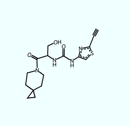 C#Cc1nc(NC(=O)NC(CO)C(=O)N2CCC3(CC2)CC3)cs1